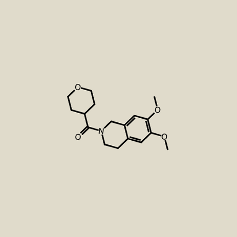 COc1cc2c(cc1OC)CN(C(=O)C1CCOCC1)CC2